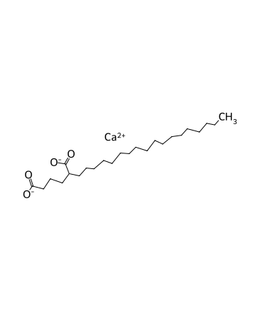 CCCCCCCCCCCCCCCCCCC(CCCC(=O)[O-])C(=O)[O-].[Ca+2]